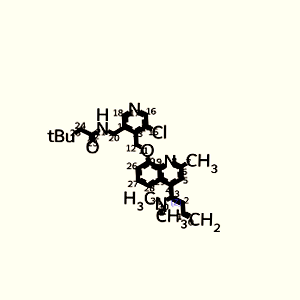 C=C/C=C(/c1cc(C)nc2c(OCc3c(Cl)cncc3CNC(=O)CC(C)(C)C)cccc12)N(C)C